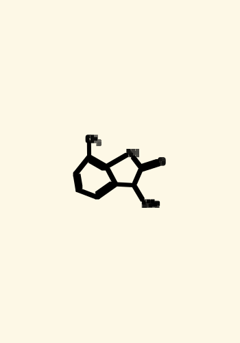 CSC1C(=O)Nc2c(C)cccc21